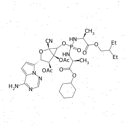 CCC(CC)COC(=O)[C@H](C)NP(=O)(N[C@@H](C)C(=O)OC1CCCCC1)OC1[C@@]2(C#N)O[C@@H](c3ccc4c(N)ncnn34)[C@H](OC(C)=O)[C@@]12OC(C)=O